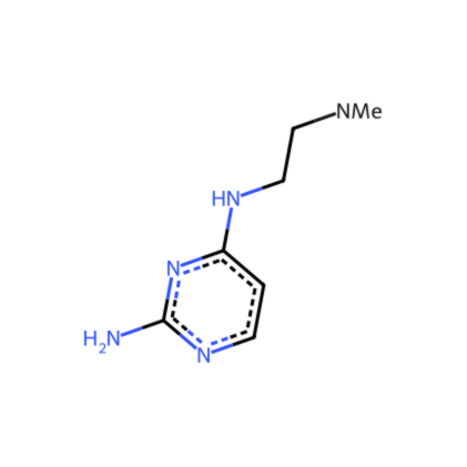 CNCCNc1ccnc(N)n1